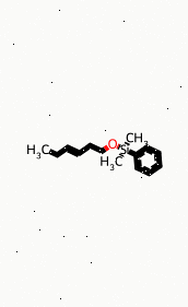 CCC=CCCO[Si](C)(C)c1ccccc1